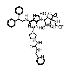 O=C(NCc1ccccn1)N[C@@H]1CCN(c2nc(NCC(c3ccccc3)c3ccccc3)c3ncn([C@@H]4C[C@](NC(=O)C(F)(F)F)(C5(C(=O)O)CC5)[C@@H](O)[C@H]4O)c3n2)C1